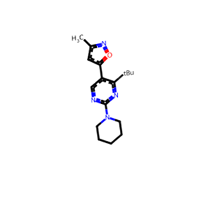 Cc1cc(-c2cnc(N3CCCCC3)nc2C(C)(C)C)on1